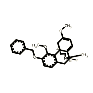 COC1=CC=C2[C@@H]3Cc4ccc(OCc5ccccc5)c(OC)c4[C@]2(CCN3C)C1